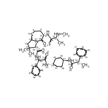 CN[C@@H](C)C(=S)N[C@H]1CCSC2CC(C)(C)[C@@H](C(=O)N[C@@H](C(=O)N[C@H]3CC[C@H](NC(=O)[C@@H](C)c4ccccc4)CC3)c3ccccc3)N2C1=O